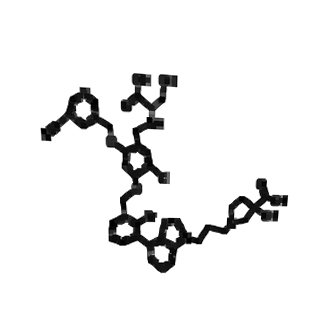 N#Cc1cncc(COc2cc(OCc3cccc(-c4cccc5c4ccn5CCCN4CCC(O)(C(=O)O)C4)c3Br)c(Cl)cc2CNC(CO)C(=O)O)c1